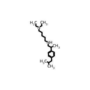 CCN(CC)CCCCCNCC(C)c1ccc(CC(C)C)cc1